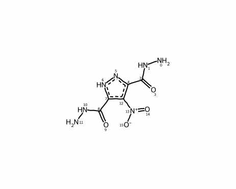 NNC(=O)c1n[nH]c(C(=O)NN)c1[N+](=O)[O-]